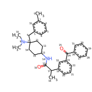 Cc1cccc(CC2(N(C)C)CCC(NC(=O)C(C)c3cccc(C(=O)c4ccccc4)c3)CC2)c1